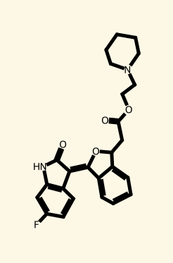 O=C(CC1O/C(=C2\C(=O)Nc3cc(F)ccc32)c2ccccc21)OCCN1CCCCC1